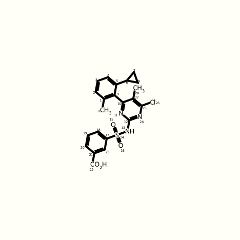 Cc1cccc(C2CC2)c1-c1nc(NS(=O)(=O)c2cccc(C(=O)O)c2)nc(Cl)c1C